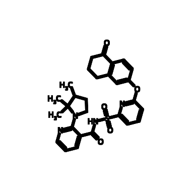 CC1CCN(c2ncccc2C(=O)NS(=O)(=O)c2cccc(Oc3ccc4c(c3)CCCC4=O)n2)C1(C)C